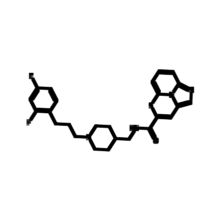 O=C(NCC1CCN(CCCc2ccc(F)cc2F)CC1)C1=Cc2cnc3cccc(n23)S1